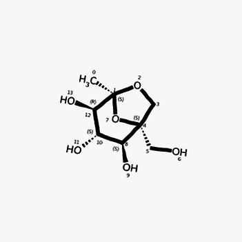 C[C@]12OC[C@](CO)(O1)[C@@H](O)[C@H](O)[C@H]2O